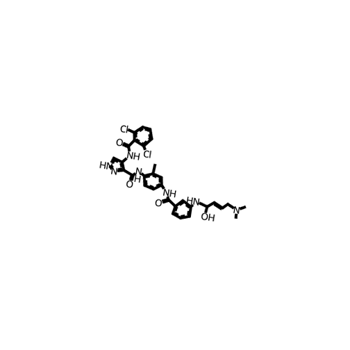 Cc1cc(NC(=O)c2cccc(NC(O)/C=C/CN(C)C)c2)ccc1NC(=O)c1n[nH]cc1NC(=O)c1c(Cl)cccc1Cl